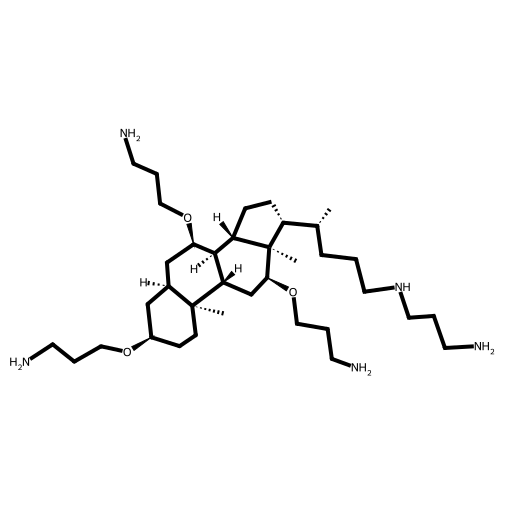 C[C@H](CCCNCCCN)[C@H]1CC[C@H]2[C@@H]3[C@H](OCCCN)C[C@@H]4C[C@H](OCCCN)CC[C@]4(C)[C@H]3C[C@H](OCCCN)[C@]12C